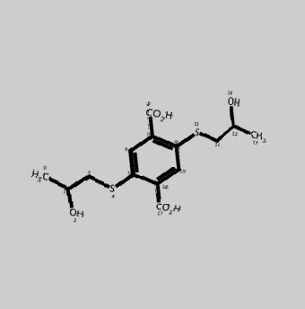 CC(O)CSc1cc(C(=O)O)c(SCC(C)O)cc1C(=O)O